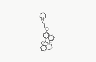 O=C(c1ccc(OCCCN2CCCCC2)cc1)[N+]1(c2ccccc2)CCCc2ccccc21